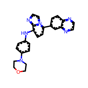 c1cnc2cc(-c3ccc(Nc4ccc(N5CCOCC5)cc4)c4nccn34)ccc2n1